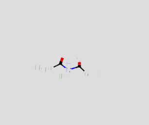 Br.CCCCCCCC(=O)NC(=O)CCCCCCC